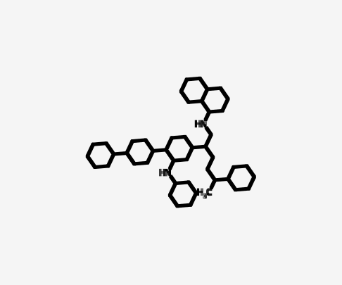 CC(CCC(CNC1CCCC2CCCCC21)C1CCC(C2CCC(C3CCCCC3)CC2)C(NC2CCCCC2)C1)C1CCCCC1